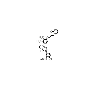 COc1cc(N2CCN3[C@@H](CCC[C@@H]3c3ccc(OCCCn4ccccc4=O)c(C)c3C)C2)ccc1Cl